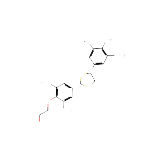 COc1cc([C@H]2CS[C@H](c3cc(OC)c(OCCO)c(OC)c3)S2)cc(OC)c1OC